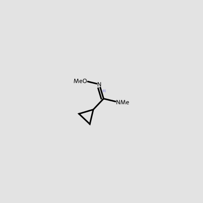 CN/C(=N/OC)C1CC1